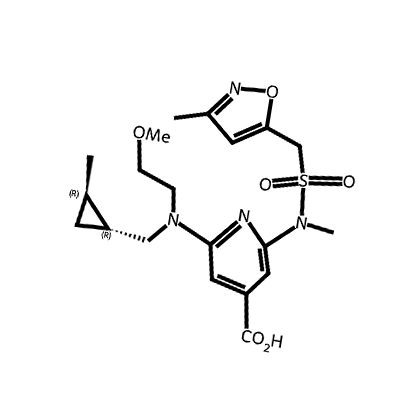 COCCN(C[C@@H]1C[C@H]1C)c1cc(C(=O)O)cc(N(C)S(=O)(=O)Cc2cc(C)no2)n1